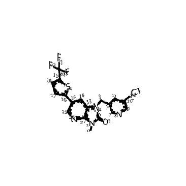 Cn1c(=O)n(Cc2cncc(Cl)c2)c2cc(-c3ccc(C(F)(F)F)s3)cnc21